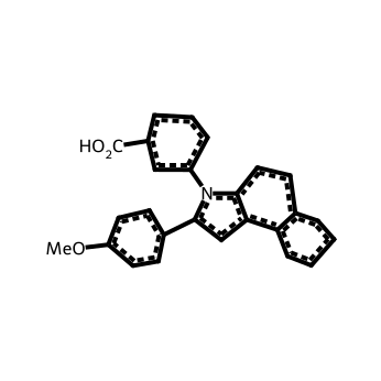 COc1ccc(-c2cc3c4ccccc4ccc3n2-c2cccc(C(=O)O)c2)cc1